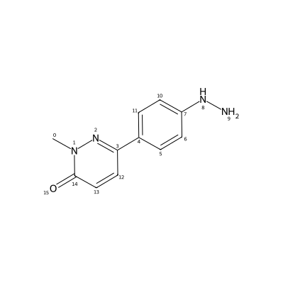 Cn1nc(-c2ccc(NN)cc2)ccc1=O